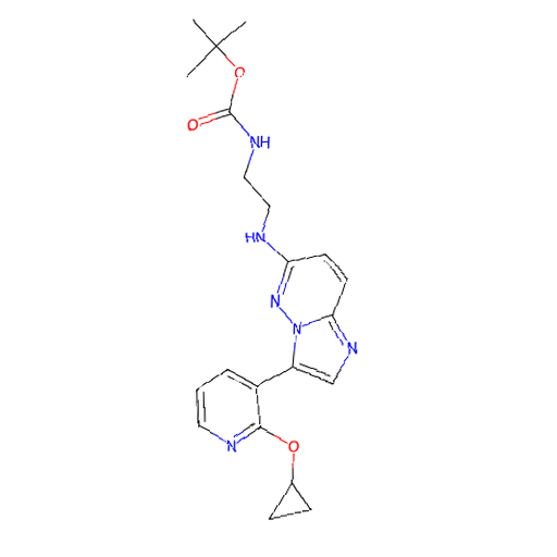 CC(C)(C)OC(=O)NCCNc1ccc2ncc(-c3cccnc3OC3CC3)n2n1